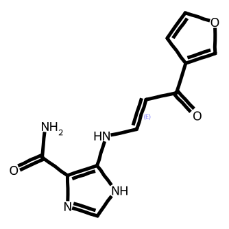 NC(=O)c1nc[nH]c1N/C=C/C(=O)c1ccoc1